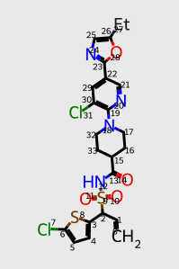 C=CC(c1ccc(Cl)s1)S(=O)(=O)NC(=O)C1CCN(c2ncc(-c3ncc(CC)o3)cc2Cl)CC1